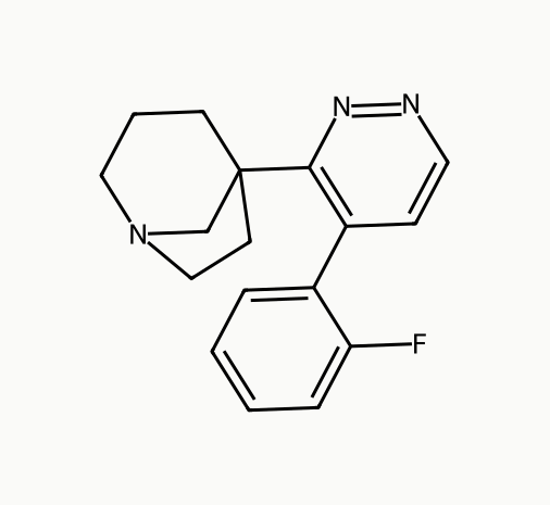 Fc1ccccc1-c1ccnnc1C12CCCN(CC1)C2